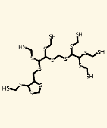 SCSC1SCSC1CSC(SCS)C(SCS)SCSC(SCS)C(SCS)SCS